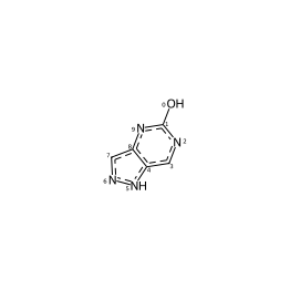 Oc1ncc2[nH]ncc2n1